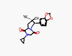 C[C@]1(C#N)CC2C(=O)N(C3CC3)CC(=O)N2C1c1ccc2c(c1)OCO2